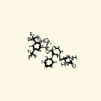 O=c1[nH]nc(CN2CCO[C@H](O[C@H](CO)c3cc(C(F)(F)F)cc(C(F)(F)F)c3)[C@@H]2c2ccccc2)[nH]1